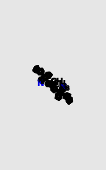 CC1(C)c2cc(-c3c4ccccc4c(-c4ccc5ccccc5c4)c4ccncc34)ccc2-c2ccc(-c3c4ccccc4c(-c4ccc5ccccc5c4)c4ccncc34)cc21